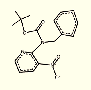 CC(C)(C)OC(=O)N(Cc1ccccc1)c1ncccc1[N+](=O)[O-]